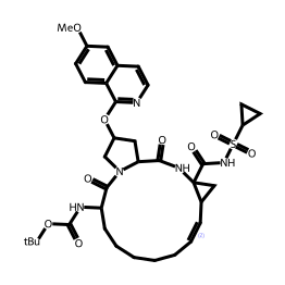 COc1ccc2c(OC3CC4C(=O)NC5(C(=O)NS(=O)(=O)C6CC6)CC5/C=C\CCCCCC(NC(=O)OC(C)(C)C)C(=O)N4C3)nccc2c1